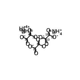 O=C([O-])C(=O)[O-].O=C([O-])C(=O)[O-].O=C([O-])C(=O)[O-].[Hf+4].[NH4+].[NH4+]